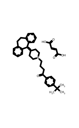 CC(C)(C)c1ccc(C(=O)CCCN2CCC(=C3c4ccccc4CCc4ccccc43)CC2)cc1.O=C(O)C=CC(=O)O